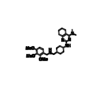 COc1ccc(CNCC2CCC(Nc3nc4c(c(N(C)C)n3)CCCC4)CC2)c(OC)c1OC